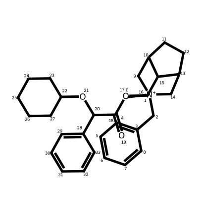 C[N+]1(Cc2ccccc2)CC2CCC(C1)C2COC(=O)C(OC1CCCCC1)c1ccccc1